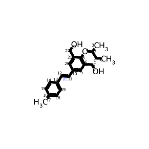 CCC(C)Oc1c(CO)cc(/C=C/c2ccc(C)cc2)cc1CO